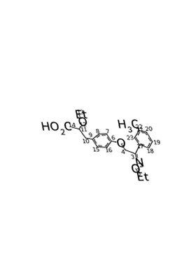 CCO/N=C(\COc1ccc(CC(OCC)C(=O)O)cc1)c1cccc(C)c1